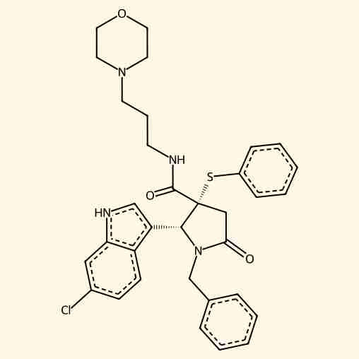 O=C1C[C@](Sc2ccccc2)(C(=O)NCCCN2CCOCC2)[C@@H](c2c[nH]c3cc(Cl)ccc23)N1Cc1ccccc1